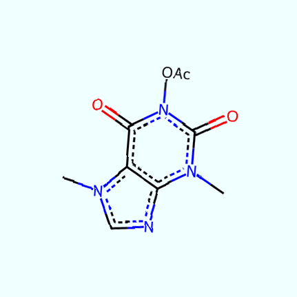 CC(=O)On1c(=O)c2c(ncn2C)n(C)c1=O